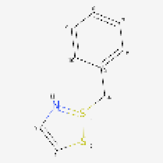 C1=CSS(Cc2ccccc2)=N1